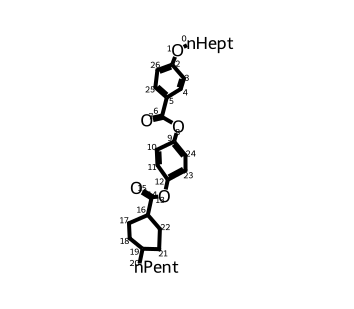 CCCCCCCOc1ccc(C(=O)Oc2ccc(OC(=O)C3CCC(CCCCC)CC3)cc2)cc1